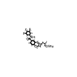 COCC(C)CC1CC(C)C1Sc1cc(C(=O)Nc2cc(F)c(F)c(F)c2)ccc1Cl